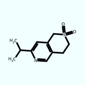 CC(C)c1cc2c(cn1)CCS(=O)(=O)C2